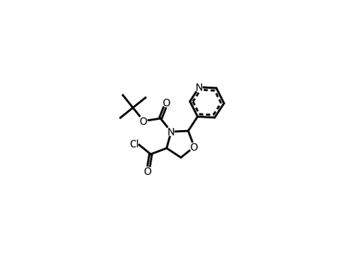 CC(C)(C)OC(=O)N1C(C(=O)Cl)COC1c1cccnc1